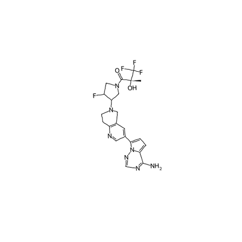 C[C@@](O)(C(=O)N1CC(F)C(N2CCc3ncc(-c4ccc5c(N)ncnn45)cc3C2)C1)C(F)(F)F